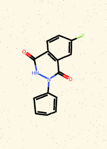 O=c1[nH]n(-c2ccccc2)c(=O)c2cc(F)ccc12